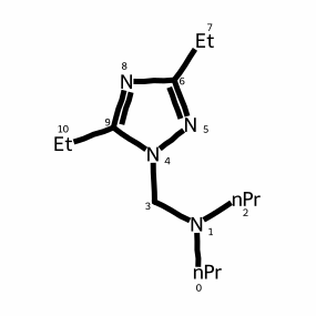 CCCN(CCC)Cn1nc(CC)nc1CC